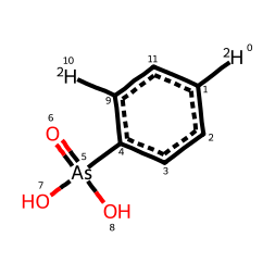 [2H]c1ccc([As](=O)(O)O)c([2H])c1